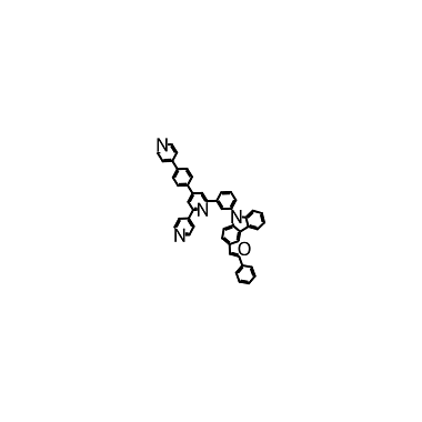 c1ccc(-c2cc3ccc4c(c5ccccc5n4-c4cccc(-c5cc(-c6ccc(-c7ccncc7)cc6)cc(-c6ccncc6)n5)c4)c3o2)cc1